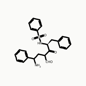 NC(CC(C=O)C(=O)[C@H](Cc1ccccc1)NS(=O)(=O)c1ccccc1)c1ccccc1